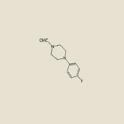 O=CN1CCN(c2ccc(F)cc2)CC1